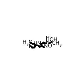 Cc1cc(-c2cc3cnc(NC(=O)[C@H](C)O)cc3[nH]2)ccn1